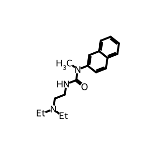 CCN(CC)CCNC(=O)N(C)c1ccc2ccccc2c1